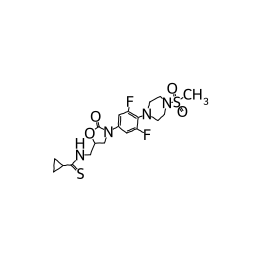 CS(=O)(=O)N1CCN(c2c(F)cc(N3CC(CNC(=S)C4CC4)OC3=O)cc2F)CC1